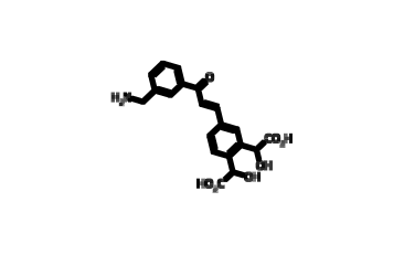 NCc1cccc(C(=O)/C=C/c2ccc(C(O)C(=O)O)c(C(O)C(=O)O)c2)c1